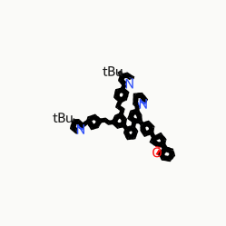 CC(C)(C)c1ccnc(-c2ccc(CCc3cc(CCc4ccc(-c5cc(C(C)(C)C)ccn5)cc4)cc(-c4ccccc4-c4ccc(-c5ccccn5)cc4-c4ccc(-c5ccc6c(c5)oc5ccccc56)cc4)c3)cc2)c1